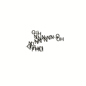 CCOc1ncc(-c2cc(N(C)CC3(COC)CCC3)c3[nH]c(-c4cnc(N5CCN(CCC(=O)O)CC5)cn4)nc3n2)cc1C(F)(F)F.Cl.Cl